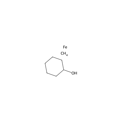 C.OC1CCCCC1.[Fe]